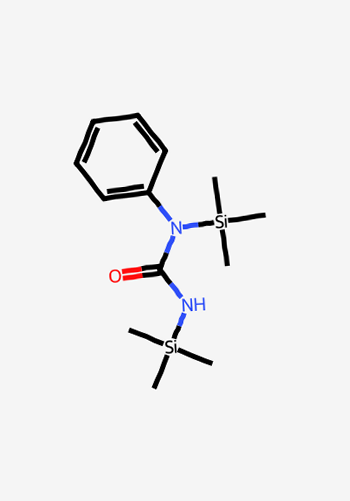 C[Si](C)(C)NC(=O)N(c1ccccc1)[Si](C)(C)C